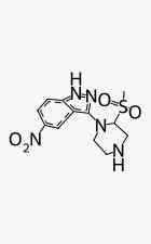 CS(=O)(=O)C1CNCCN1c1n[nH]c2ccc([N+](=O)[O-])cc12